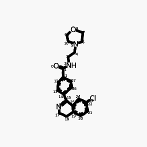 O=C(NCCN1CCOCC1)c1ccc(C2=NCCc3ccc(Cl)cc32)cc1